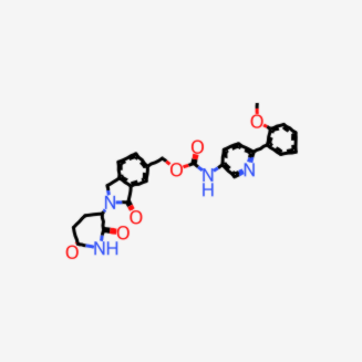 COc1ccccc1-c1ccc(NC(=O)OCc2ccc3c(c2)C(=O)N(C2CCC(=O)NC2=O)C3)cn1